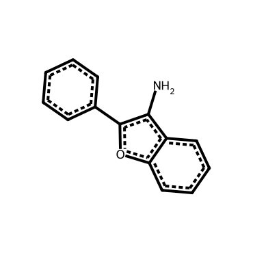 Nc1c(-c2ccccc2)oc2ccccc12